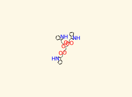 O=C(Cc1c[nH]c2ccccc12)OCC[C@H](COC(=O)Cc1c[nH]c2ccccc12)OC(=O)Cc1c[nH]c2ccccc12